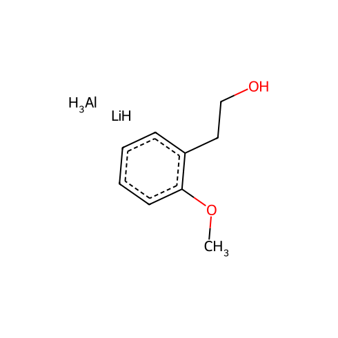 COc1ccccc1CCO.[AlH3].[LiH]